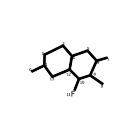 CC1CCC2CC(C)C(C)C(F)C2C1